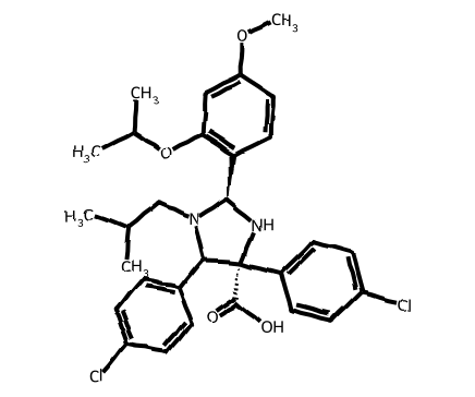 COc1ccc([C@H]2N[C@@](C(=O)O)(c3ccc(Cl)cc3)C(c3ccc(Cl)cc3)N2CC(C)C)c(OC(C)C)c1